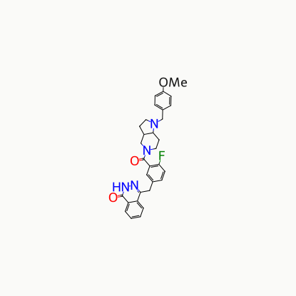 COc1ccc(CN2CCC3CN(C(=O)c4cc(Cc5n[nH]c(=O)c6ccccc56)ccc4F)CCC32)cc1